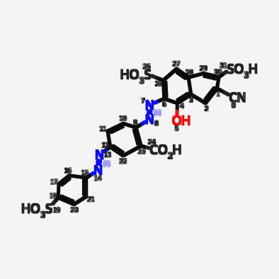 N#Cc1cc2c(O)c(/N=N/c3ccc(/N=N/c4ccc(S(=O)(=O)O)cc4)cc3C(=O)O)c(S(=O)(=O)O)cc2cc1S(=O)(=O)O